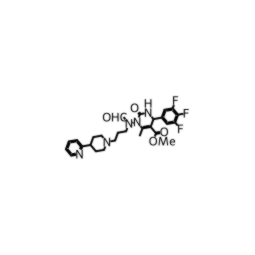 COC(=O)C1=C(C)N(N(C=O)CCCN2CCC(c3ccccn3)CC2)C(=O)NC1c1cc(F)c(F)c(F)c1